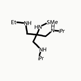 CCNCC(CNC(C)C)(CNC(C)C)NSC